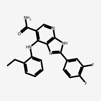 CCc1ccccc1Nc1c(C(N)=O)cnc2[nH]c(-c3ccc(F)c(F)c3)nc12